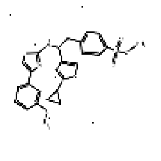 COc1cccc(-c2csc(N[C@@H](Cc3ccc(S(=O)(=O)ON)cc3)c3csc(C4CC4)n3)n2)c1